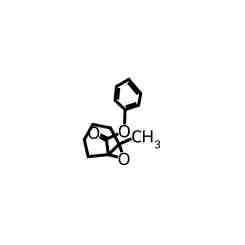 CC12CCCCC1(C(=O)Oc1ccccc1)O2